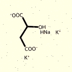 O=C([O-])CC(O)C(=O)[O-].[K+].[K+].[NaH]